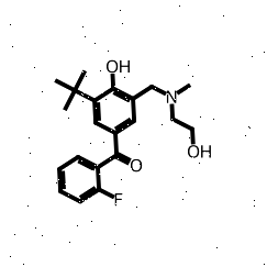 CN(CCO)Cc1cc(C(=O)c2ccccc2F)cc(C(C)(C)C)c1O